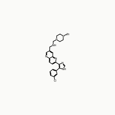 CC(C)N1CCN(CNCc2cnc3ccc(-c4nc[nH]c4-c4cccc(Cl)c4)nc3c2)CC1